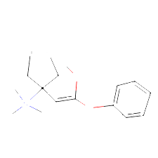 CCOC(=CC(CC(C)C)(CC(C)C)[N+](C)(C)CC)Oc1ccccc1.[Cl-]